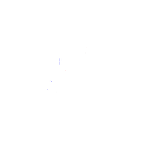 O=C(O)c1ccc(C(=O)Nc2cccc(-n3cnc4ccccc43)c2)cc1